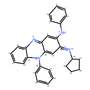 c1ccc(Nc2cc3nc4ccccc4n(-c4ccccc4)c-3c/c2=N\C2CCCC2)cc1